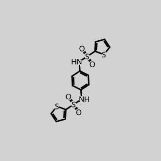 O=S(=O)(Nc1ccc(NS(=O)(=O)c2cccs2)cc1)c1cccs1